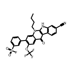 CCCCn1c2cc(-c3cccc(S(=O)(=O)F)c3)c(OC(F)(F)F)cc2c(=O)c2c3ccc(C#N)cc3[nH]c21